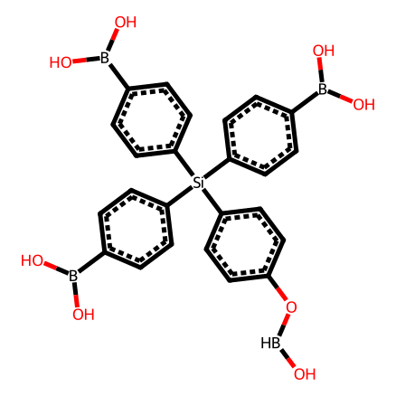 OBOc1ccc([Si](c2ccc(B(O)O)cc2)(c2ccc(B(O)O)cc2)c2ccc(B(O)O)cc2)cc1